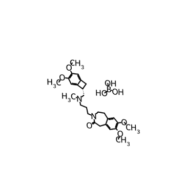 COc1cc2c(cc1OC)CC(=O)N(CCCN(C)C[C@H]1Cc3cc(OC)c(OC)cc31)CC2.OB(O)O